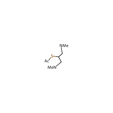 CNCC(CNC)SC(C)=O